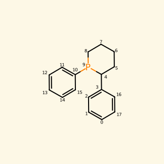 c1ccc(C2CCCCP2c2ccccc2)cc1